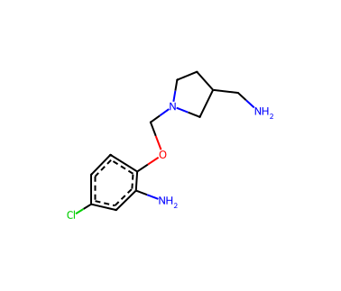 NCC1CCN(COc2ccc(Cl)cc2N)C1